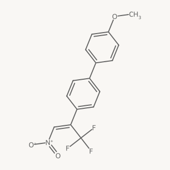 COc1ccc(-c2ccc(C(=C[N+](=O)[O-])C(F)(F)F)cc2)cc1